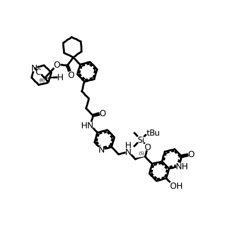 CC(C)(C)[Si](C)(C)O[C@H](CNCc1ccc(NC(=O)CCCc2cccc(C3(C(=O)O[C@H]4CN5CCC4CC5)CCCCC3)c2)cn1)c1ccc(O)c2[nH]c(=O)ccc12